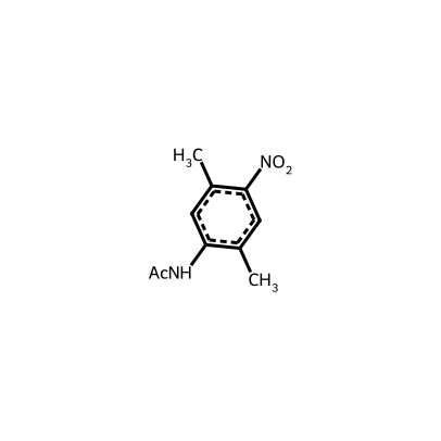 CC(=O)Nc1cc(C)c([N+](=O)[O-])cc1C